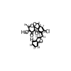 C[C@H]1O[C@]2(OCc3cc(Cl)c(Cc4cc5ccccc5o4)cc32)[C@H](O)[C@@H](O)[C@@H]1O